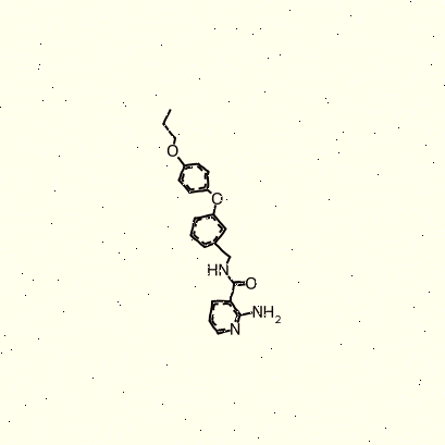 CCCOc1ccc(Oc2cccc(CNC(=O)c3cccnc3N)c2)cc1